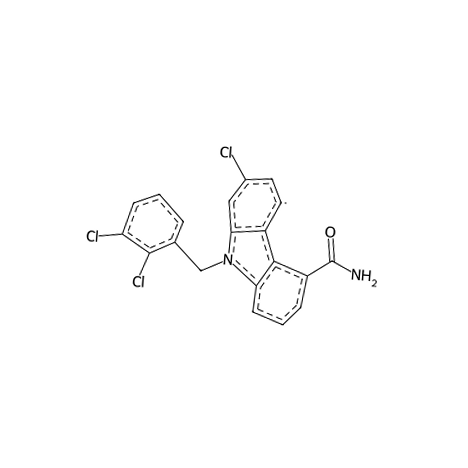 NC(=O)c1cccc2c1c1[c]cc(Cl)cc1n2Cc1cccc(Cl)c1Cl